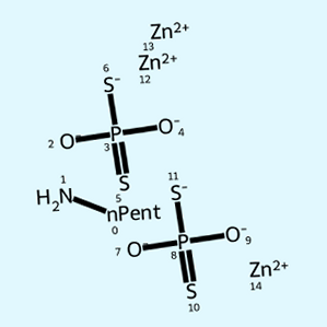 CCCCCN.[O-]P([O-])(=S)[S-].[O-]P([O-])(=S)[S-].[Zn+2].[Zn+2].[Zn+2]